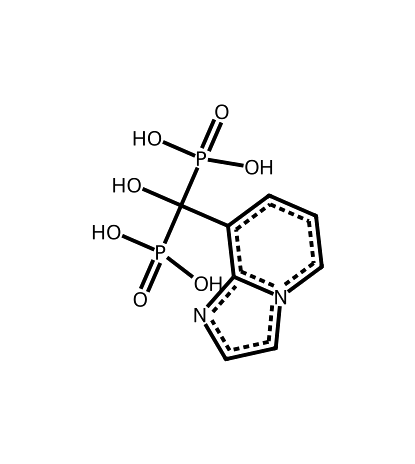 O=P(O)(O)C(O)(c1cccn2ccnc12)P(=O)(O)O